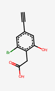 C#Cc1cc(O)c(CC(=O)O)c(Br)c1